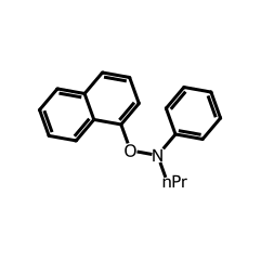 CCCN(Oc1cccc2ccccc12)c1ccccc1